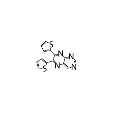 c1csc(-c2nc3cncnc3nc2-c2cccs2)c1